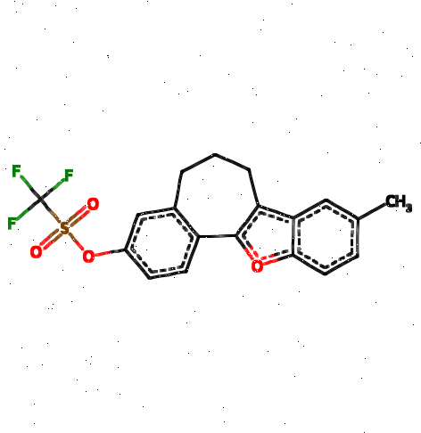 Cc1ccc2oc3c(c2c1)CCCc1cc(OS(=O)(=O)C(F)(F)F)ccc1-3